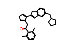 Cc1cccc(C)c1C(=O)CC1=CCC=C1C1=Cc2cc(CC3CCCC3)ccc2C1